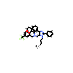 CCCCn1c(-c2ccccc2)nc(-c2ccccc2)c1CN(Cc1cccc(C(F)(F)F)c1)CC1CCCCC1